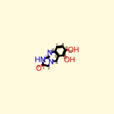 O=C1CN2Cc3c(ccc(O)c3O)N=C2N1